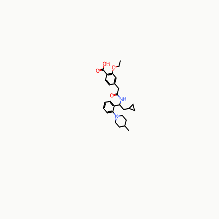 CCOc1cc(CC(=O)NC(CC2CC2)c2ccccc2N2CCC(C)CC2)ccc1C(=O)O